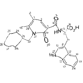 Cc1cc(C(=O)N[C@@H](Cc2c[nH]c3ccccc23)C(=O)O)c(=O)n(CC2CCCCC2)c1C